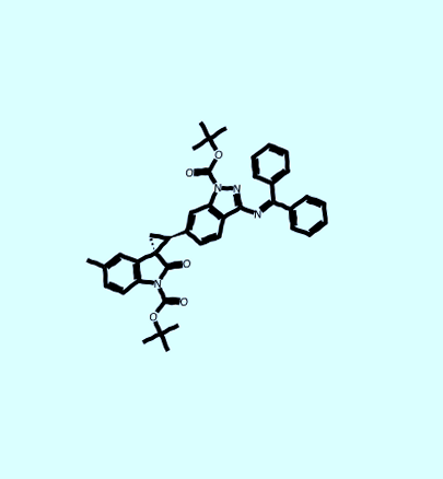 Cc1ccc2c(c1)[C@]1(C[C@H]1c1ccc3c(N=C(c4ccccc4)c4ccccc4)nn(C(=O)OC(C)(C)C)c3c1)C(=O)N2C(=O)OC(C)(C)C